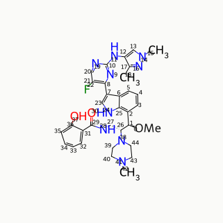 CO[C@H](c1cccc2c(-c3nc(Nc4cn(C)nc4C)ncc3F)c[nH]c12)[C@@H](CNC(=O)c1ccccc1O)N1CCN(C)CC1